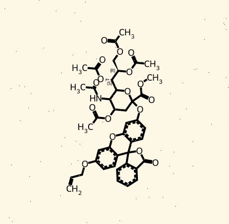 C=CCOc1ccc2c(c1)Oc1cc(OC3(C(=O)OC)CC(OC(C)=O)C(NC(C)=O)C([C@H](OC(C)=O)[C@@H](COC(C)=O)OC(C)=O)O3)ccc1C21OC(=O)c2ccccc21